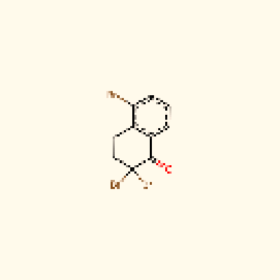 O=C1c2cccc(Br)c2CCC1(Br)Br